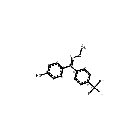 CON=C(c1ccc(O)cc1)c1ccc(C(F)(F)F)cc1